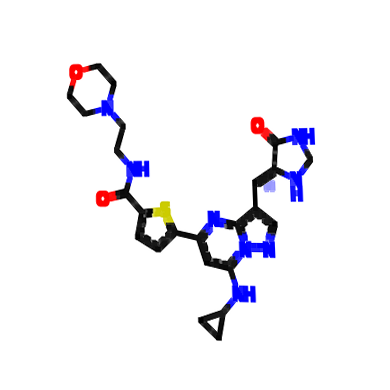 O=C1NCN/C1=C\c1cnn2c(NC3CC3)cc(-c3ccc(C(=O)NCCN4CCOCC4)s3)nc12